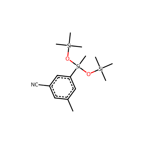 Cc1cc(C#N)cc([Si](C)(O[Si](C)(C)C)O[Si](C)(C)C)c1